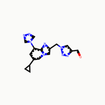 O=Cc1cn(Cc2cn3cc(C4CC4)cc(-n4cnnc4)c3n2)nn1